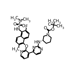 Cc1ccc2c(NS(=O)(=O)N(C)C)c(F)ccc2c1Oc1ncccc1-c1ccnc(N[C@H]2CCCN(C(=O)OC(C)(C)C)C2)n1